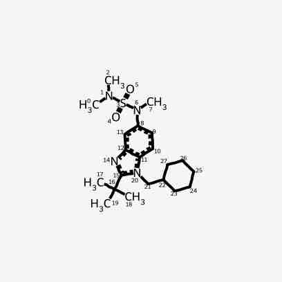 CN(C)S(=O)(=O)N(C)c1ccc2c(c1)nc(C(C)(C)C)n2CC1CCCCC1